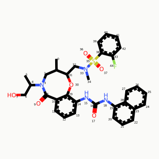 CC1CN(C(C)CO)C(=O)c2cccc(NC(=O)Nc3cccc4ccccc34)c2OC1CN(C)S(=O)(=O)c1ccccc1F